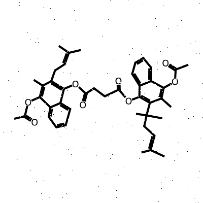 CC(=O)Oc1c(C)c(CC=C(C)C)c(OC(=O)CCC(=O)Oc2c(C(C)(C)CC=C(C)C)c(C)c(OC(C)=O)c3ccccc23)c2ccccc12